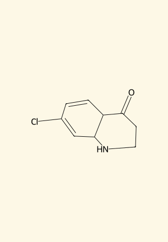 O=C1CCNC2C=C(Cl)C=CC12